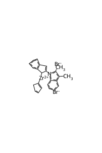 Cc1c(C)n(C2=Cc3ccccc3[CH]2[Zr+2][C]2=CC=CC2)c2ccccc12.[Br-].[Br-]